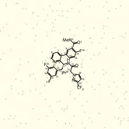 CNC(=O)c1cc(-c2cccnc2[C@H](Cc2cc(F)cc(F)c2)NC(=O)[C@@H](C(C)C)n2ccc(C(F)(F)F)n2)ccc1F